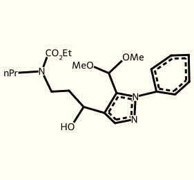 CCCN(CCC(O)c1cnn(-c2ccccc2)c1C(OC)OC)C(=O)OCC